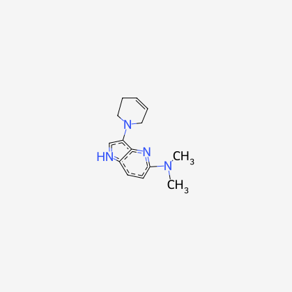 CN(C)c1ccc2[nH]cc(N3CC=CCC3)c2n1